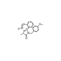 COc1ccc(CN2C(=O)C(C)[C@H]([N+](=O)[O-])[C@H]2c2ccccc2Cl)cc1